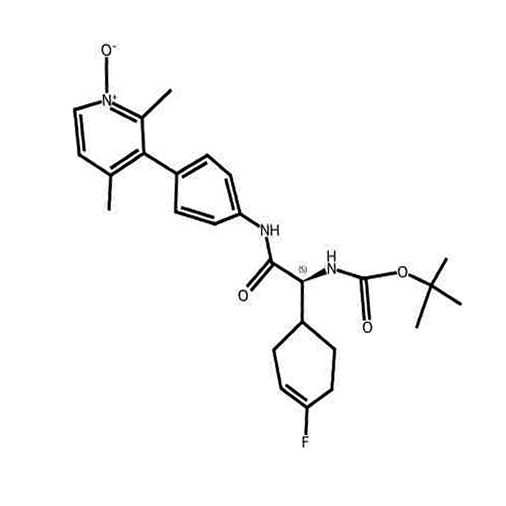 Cc1cc[n+]([O-])c(C)c1-c1ccc(NC(=O)[C@@H](NC(=O)OC(C)(C)C)C2CC=C(F)CC2)cc1